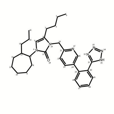 CCCCc1cn(C2CCCCCC2CCC)c(=O)n1Cc1ccc(-c2ccccc2-c2nnn[nH]2)cn1